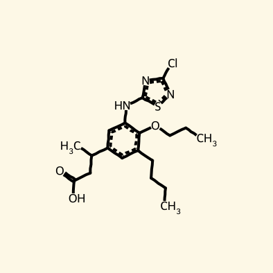 CCCCc1cc(C(C)CC(=O)O)cc(Nc2nc(Cl)ns2)c1OCCC